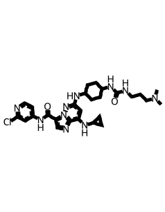 CN(C)CCCNC(=O)NC1CCC(Nc2cc(NC3CC3)c3ncc(C(=O)Nc4ccnc(Cl)c4)n3n2)CC1